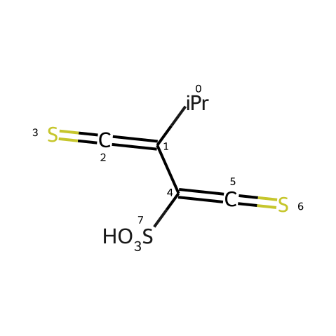 CC(C)C(=C=S)C(=C=S)S(=O)(=O)O